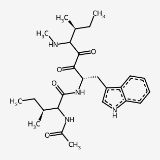 CC[C@H](C)C(NC(C)=O)C(=O)N[C@@H](Cc1c[nH]c2ccccc12)C(=O)C(=O)C(NC)[C@@H](C)CC